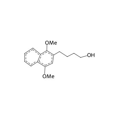 COc1cc(CCCCO)c(OC)c2ccccc12